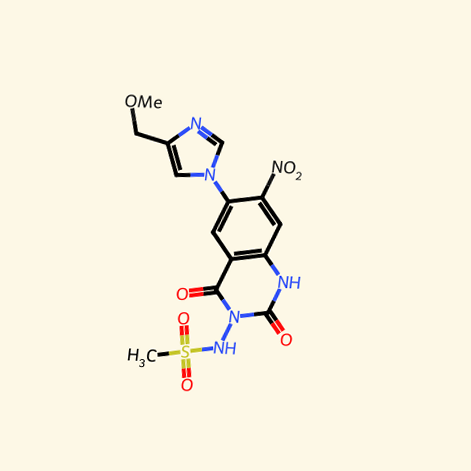 COCc1cn(-c2cc3c(=O)n(NS(C)(=O)=O)c(=O)[nH]c3cc2[N+](=O)[O-])cn1